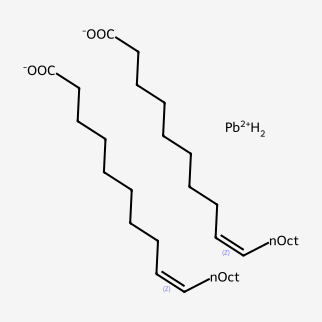 CCCCCCCC/C=C\CCCCCCCC(=O)[O-].CCCCCCCC/C=C\CCCCCCCC(=O)[O-].[PbH2+2]